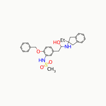 CCC1(NC(O)Cc2ccc(OCc3ccccc3)c(NS(C)(=O)=O)c2)Cc2ccccc2C1